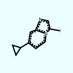 Ic1cnc2cc(C3CC3)ccn12